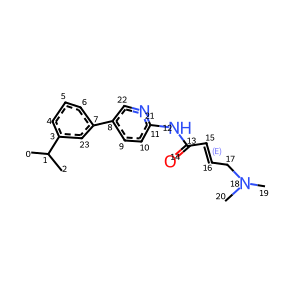 CC(C)c1cccc(-c2ccc(NC(=O)/C=C/CN(C)C)nc2)c1